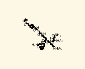 CC(=O)NCCCC[C@H](NC(=O)[C@H](CCC(N)=O)NC(C)=O)C(=O)C[C@@H](CCCCNC(=O)COCC(=O)Nc1ccc(CCC(=O)N2CCC2=O)cc1)C(=O)C[C@@H](Cc1ccccc1)C(=O)CCC(N)=O